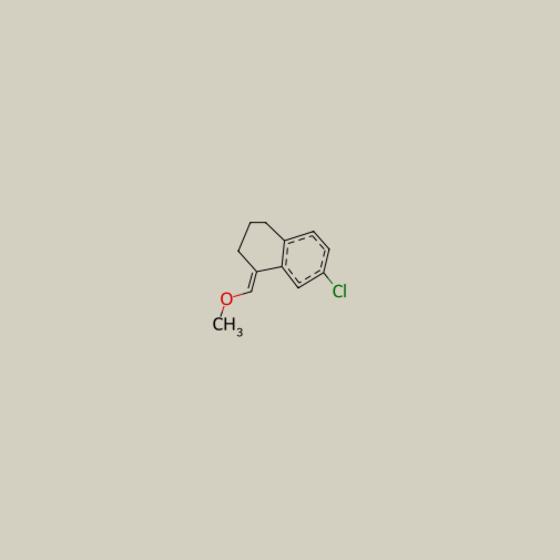 CO/C=C1\CCCc2ccc(Cl)cc21